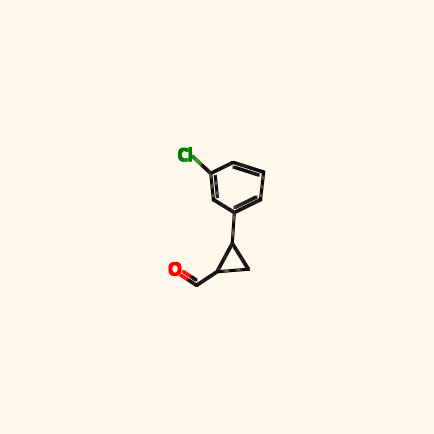 O=CC1CC1c1cccc(Cl)c1